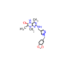 Cc1nc(NCc2cnn(Cc3ccc4c(c3)OCO4)c2)nc2c1NC(=O)[C@H](C)N2C